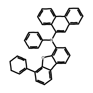 C1=CC(c2cccc3c2oc2c(N(c4ccccc4)c4cc5ccccc5c5ccccc45)cccc23)=CCC1